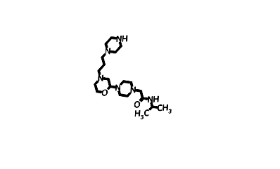 CC(C)NC(=O)CN1CCN(C2CN(CCCN3CCNCC3)CCO2)CC1